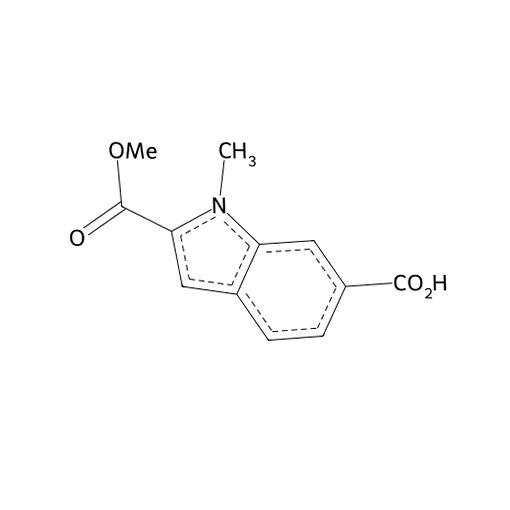 COC(=O)c1cc2ccc(C(=O)O)cc2n1C